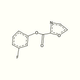 O=C(Oc1cccc(F)c1)c1ncco1